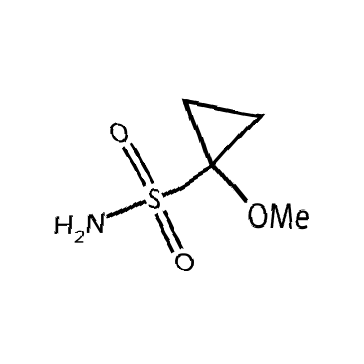 COC1(S(N)(=O)=O)CC1